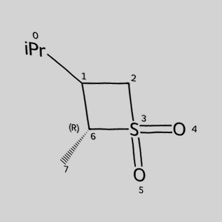 CC(C)C1CS(=O)(=O)[C@@H]1C